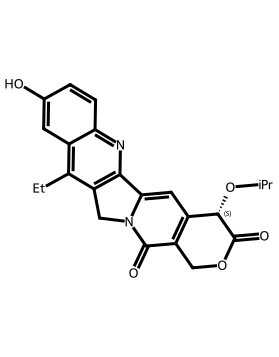 CCc1c2c(nc3ccc(O)cc13)-c1cc3c(c(=O)n1C2)COC(=O)[C@H]3OC(C)C